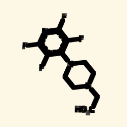 O=C(O)CN1CCN(c2c(F)c(F)nc(F)c2F)CC1